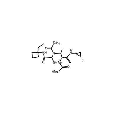 C=C(N[C@H]1C[C@@H]1I)[C@@H](NC(=O)OC)C(C)N(C(=O)OC)[C@H](C(=O)NC1(CI)CCC1)C(C)C